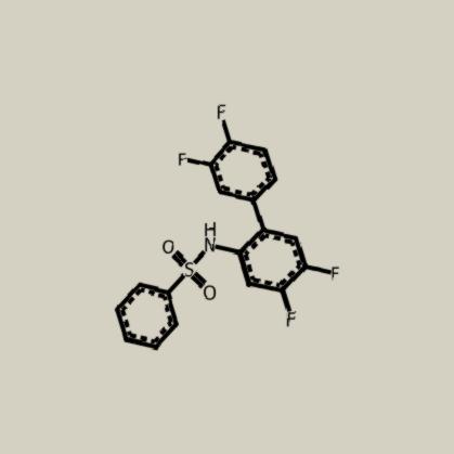 O=S(=O)(Nc1cc(F)c(F)cc1-c1ccc(F)c(F)c1)c1ccccc1